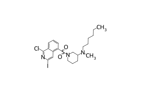 CCCCCCN(C)C1CCCN(S(=O)(=O)c2cccc3c(Cl)nc(I)cc23)C1